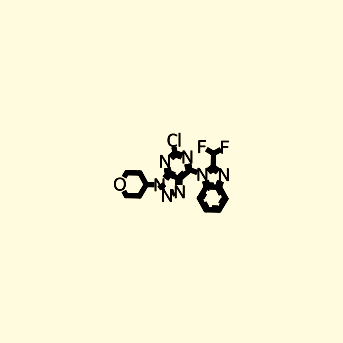 FC(F)c1nc2ccccc2n1-c1nc(Cl)nc2c1nnn2C1CCOCC1